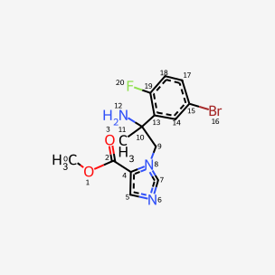 COC(=O)c1cncn1CC(C)(N)c1cc(Br)ccc1F